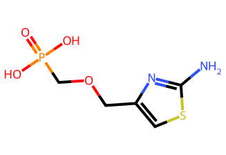 Nc1nc(COCP(=O)(O)O)cs1